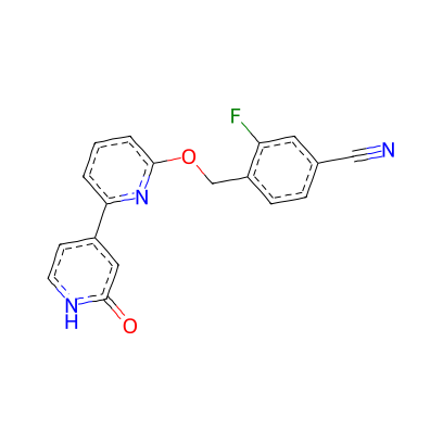 N#Cc1ccc(COc2cccc(-c3cc[nH]c(=O)c3)n2)c(F)c1